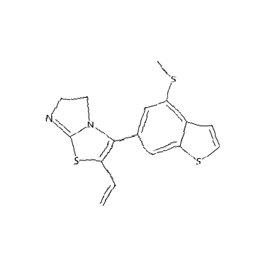 C=CC1=C(c2cc(SC)c3ccsc3c2)N2CCN=C2S1